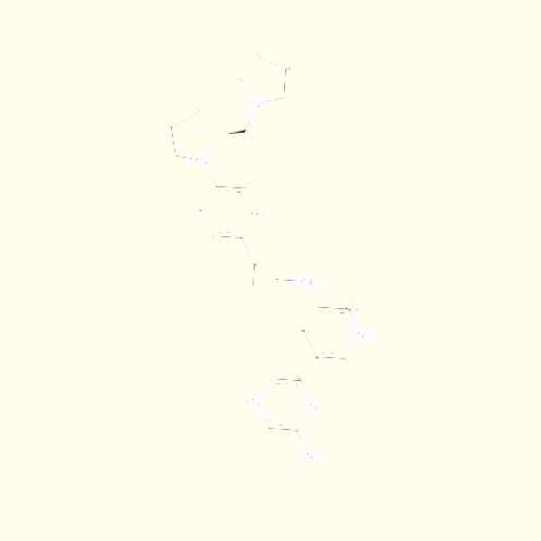 CNc1cncc(-c2c[nH]c(=O)c(NC3OC3c3ccc(N4CCC[C@H]4CN4CCCC4)cc3)c2)n1